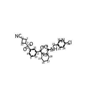 N#C[C@H]1C[C@@H](S(=O)(=O)c2cccc(C(=O)N3CCCC[C@@H]3C(=O)NCc3ccc(Cl)nc3)c2)C1